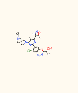 CCC(O)[C@H](N)Oc1ccc(Cl)c(-c2nc(-c3c(C)noc3C)c(C)c(N3CCC4(CCN(C5CC5)C4)C3)n2)c1